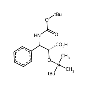 CC(C)(C)OC(=O)N[C@@H](c1ccccc1)[C@@H](O[Si](C)(C)C(C)(C)C)C(=O)O